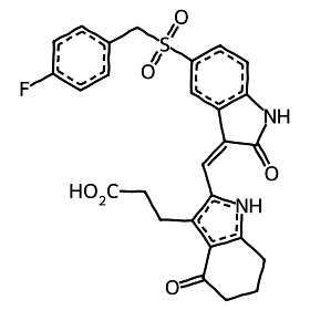 O=C(O)CCc1c(C=C2C(=O)Nc3ccc(S(=O)(=O)Cc4ccc(F)cc4)cc32)[nH]c2c1C(=O)CCC2